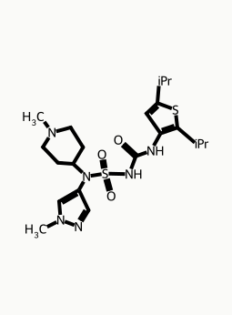 CC(C)c1cc(NC(=O)NS(=O)(=O)N(c2cnn(C)c2)C2CCN(C)CC2)c(C(C)C)s1